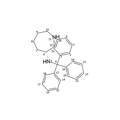 c1ccc(C(N[C@@H]2CCCCNC2)(c2ccccc2)c2ccccc2)cc1